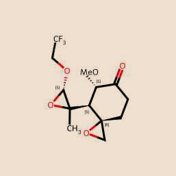 CO[C@@H]1C(=O)CC[C@]2(CO2)[C@H]1C1(C)O[C@@H]1OCC(F)(F)F